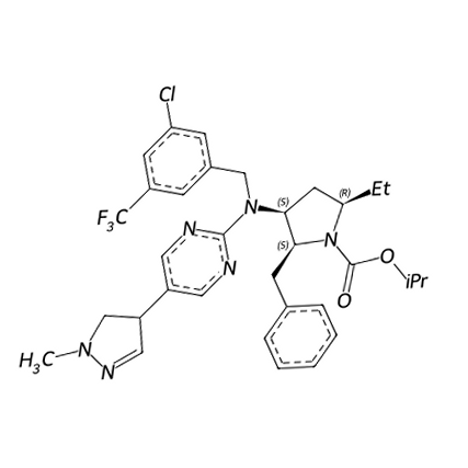 CC[C@@H]1C[C@H](N(Cc2cc(Cl)cc(C(F)(F)F)c2)c2ncc(C3C=NN(C)C3)cn2)[C@H](Cc2ccccc2)N1C(=O)OC(C)C